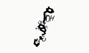 Cc1cccc(C[C@H](O)/C=C/[C@@H]2[C@H]3CC(CCSCC(=O)N4CCCC4)=C[C@H]3C[C@H]2O)c1